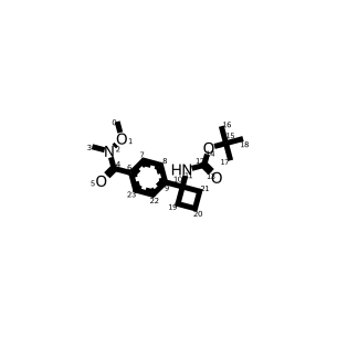 CON(C)C(=O)c1ccc(C2(NC(=O)OC(C)(C)C)CCC2)cc1